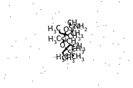 CCC(CC)(O[Si](C)(C)C(C)(CC)O[Si](C)(C)N)[Si](C)(C)C